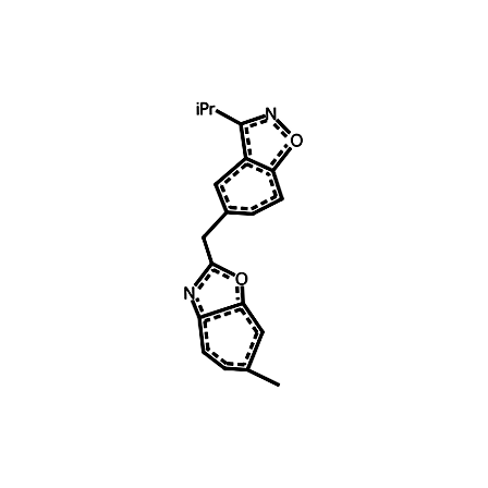 Cc1ccc2nc(Cc3ccc4onc(C(C)C)c4c3)oc2c1